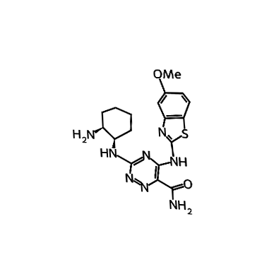 COc1ccc2sc(Nc3nc(N[C@@H]4CCCC[C@@H]4N)nnc3C(N)=O)nc2c1